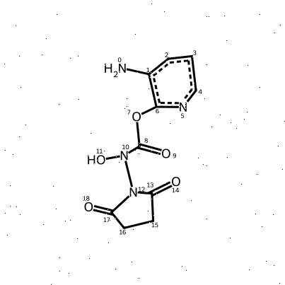 Nc1cccnc1OC(=O)N(O)N1C(=O)CCC1=O